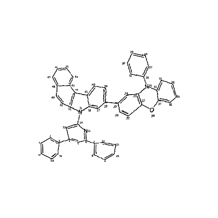 c1ccc(-c2cc(-c3ccccc3)nc(-n3c4cc(-c5ccc6c(c5)N(c5ccccc5)c5ccccc5O6)ccc4c4c5ccccc5ccc43)c2)cc1